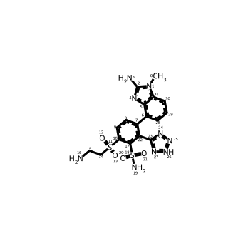 Cn1c(N)nc2c(-c3ccc(S(=O)(=O)CCN)c(S(N)(=O)=O)c3-c3nn[nH]n3)cccc21